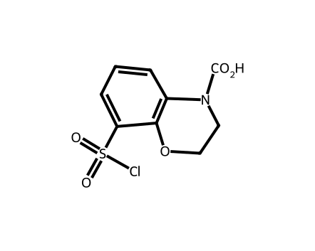 O=C(O)N1CCOc2c1cccc2S(=O)(=O)Cl